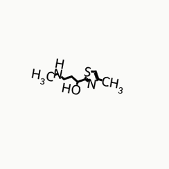 CNCCC(O)c1nc(C)cs1